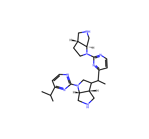 CC(C)c1ccnc(N2CC(C(C)c3ccnc(N4CC[C@@H]5CNC[C@H]54)n3)[C@@H]3CNC[C@@H]32)n1